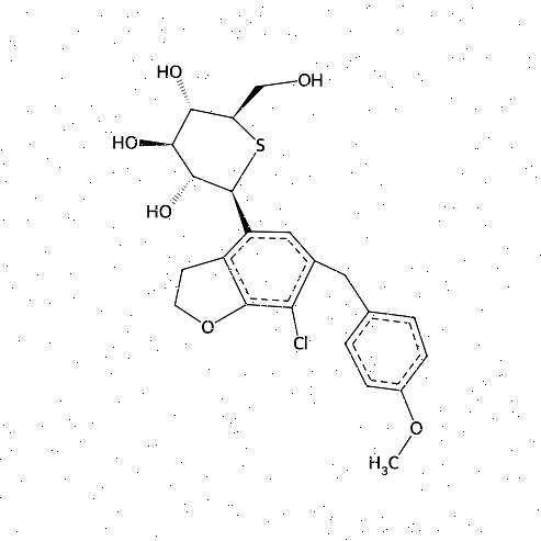 COc1ccc(Cc2cc([C@@H]3S[C@H](CO)[C@@H](O)[C@H](O)[C@H]3O)c3c(c2Cl)OCC3)cc1